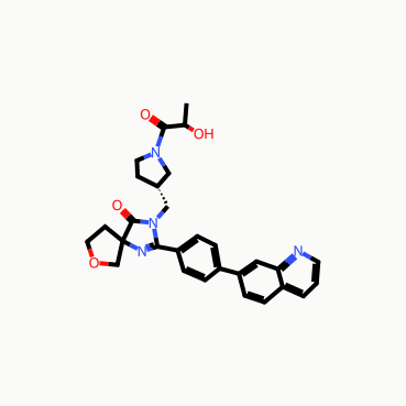 CC(O)C(=O)N1CC[C@@H](CN2C(=O)C3(CCOC3)N=C2c2ccc(-c3ccc4cccnc4c3)cc2)C1